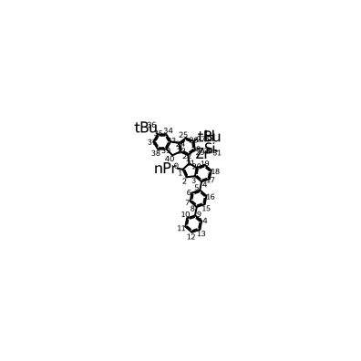 CCCC1=Cc2c(-c3ccc(-c4ccccc4)cc3)cccc2C1c1c2c(cc(C(C)(C)C)[c]1[Zr][SiH](C)C)-c1cc(C(C)(C)C)ccc1C2